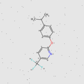 CC(C)c1ccc(Oc2ccc(C(F)(F)F)cn2)cc1